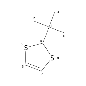 CC(C)(C)C1SC=CS1